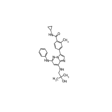 Cc1cc(-c2cnc3c(NCC(C)(C)O)cc(Nc4ccccc4)nn23)ccc1C(=O)NC1CC1